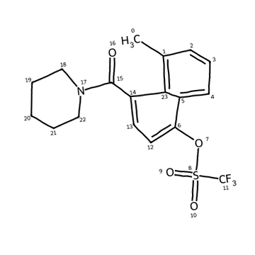 Cc1cccc2c(OS(=O)(=O)C(F)(F)F)ccc(C(=O)N3CCCCC3)c12